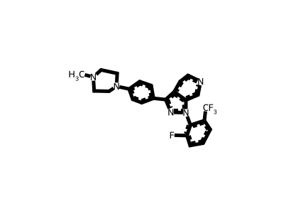 CN1CCN(c2ccc(-c3nn(-c4c(F)cccc4C(F)(F)F)c4cnccc34)cc2)CC1